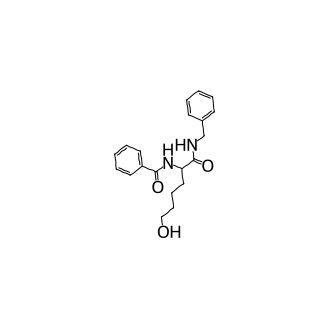 O=C(NC(CCCCO)C(=O)NCc1ccccc1)c1ccccc1